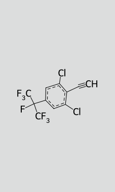 C#Cc1c(Cl)cc(C(F)(C(F)(F)F)C(F)(F)F)cc1Cl